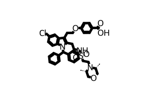 C[C@@H]1COC[C@H](C)N1CCS(=O)(=O)NCCc1c(CCOc2ccc(C(=O)O)cc2)c2cc(Cl)ccc2n1C(c1ccccc1)c1ccccc1